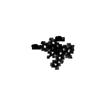 Cc1cc2c3c(c1)N(c1cc(-c4ccccc4)ccc1C)c1c(sc4cc5c(cc14)C(C)(C)CCC5(C)C)B3c1cc(C(C)(C)C)ccc1N2c1ccc(C(C)(C)C)cc1